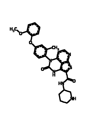 COc1ccccc1Oc1ccc(N2C(=O)Nc3c(C(=O)NC4CCCNC4)sc4nccc2c34)c(C)c1